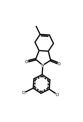 CC1=CCC2C(=O)N(c3cc(Cl)cc(Cl)c3)C(=O)C2C1